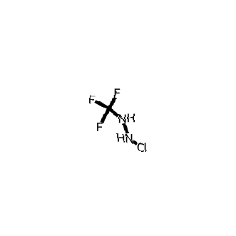 FC(F)(F)NNCl